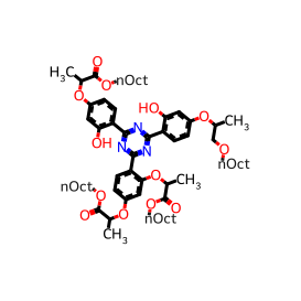 CCCCCCCCOCC(C)Oc1ccc(-c2nc(-c3ccc(OC(C)C(=O)OCCCCCCCC)cc3O)nc(-c3ccc(OC(C)C(=O)OCCCCCCCC)cc3OC(C)C(=O)OCCCCCCCC)n2)c(O)c1